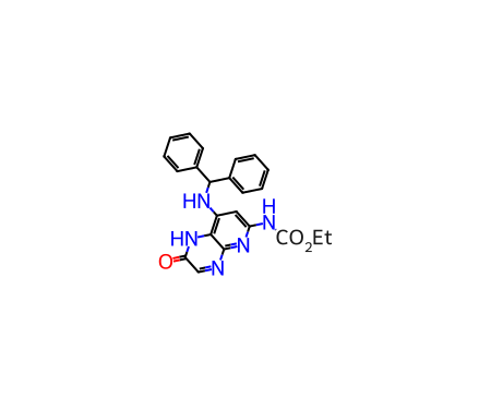 CCOC(=O)Nc1cc(NC(c2ccccc2)c2ccccc2)c2[nH]c(=O)cnc2n1